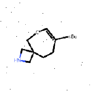 CCCCC1=CCCC2(CC1)CNC2